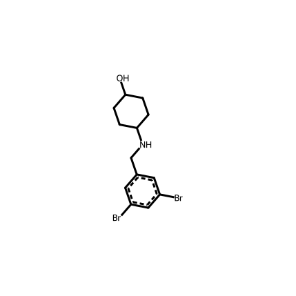 OC1CCC(NCc2cc(Br)cc(Br)c2)CC1